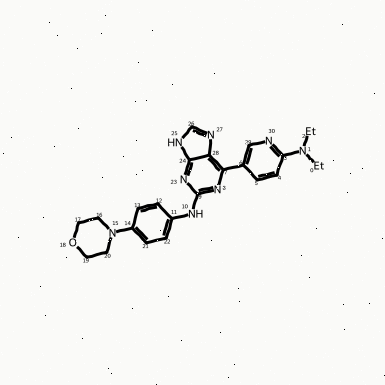 CCN(CC)c1ccc(-c2nc(Nc3ccc(N4CCOCC4)cc3)nc3[nH]cnc23)cn1